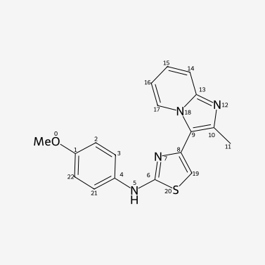 COc1ccc(Nc2nc(-c3c(C)nc4ccccn34)cs2)cc1